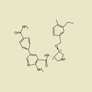 CCc1cc(CO[C@H]2CNC[C@@H]2NC(=O)c2cc(-c3ccc(C(N)=O)cc3)cnc2N)ccc1C